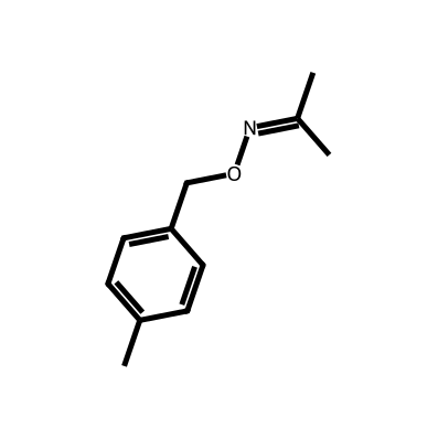 CC(C)=NOCc1ccc(C)cc1